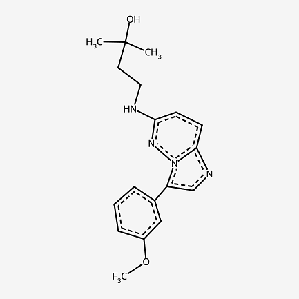 CC(C)(O)CCNc1ccc2ncc(-c3cccc(OC(F)(F)F)c3)n2n1